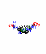 COc1cc(-c2nccc(-c3cccc(Nc4nccc(CNCCO)c4F)c3Cl)c2Cl)ccc1CNC[C@@H]1CCC(=O)N1